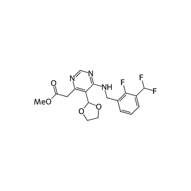 COC(=O)Cc1ncnc(NCc2cccc(C(F)F)c2F)c1C1OCCO1